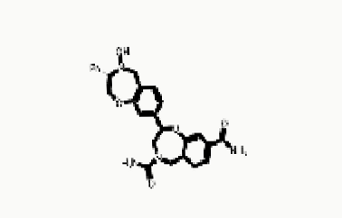 CC(C)[C@H]1COc2cc(C3CN(C(N)=O)CC4CC=C(C(N)=O)C=C4O3)ccc2CN1O